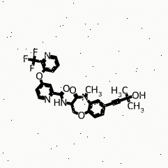 CN1C(=O)C(NC(=O)c2cc(Oc3cccnc3C(F)(F)F)ccn2)COc2ccc(C#CC(C)(C)O)cc21